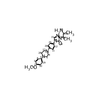 COc1ccc(N2CCN(c3ccc(-n4cnn(C(C)C(C)N)c4=O)cc3)CC2)cc1